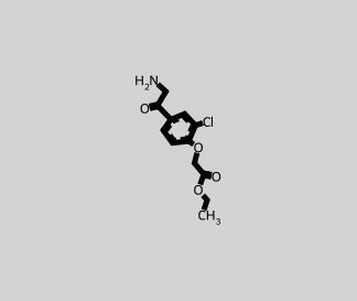 CCOC(=O)COc1ccc(C(=O)CN)cc1Cl